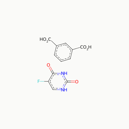 O=C(O)c1cccc(C(=O)O)c1.O=c1[nH]cc(F)c(=O)[nH]1